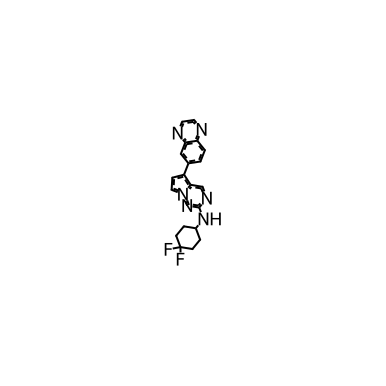 FC1(F)CCC(Nc2ncc3c(-c4ccc5nccnc5c4)ccn3n2)CC1